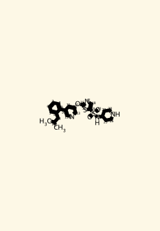 CC(C)Cc1ccccc1-c1cncc(Oc2ncc(S(=O)(=O)NC3CCNCC3)s2)c1